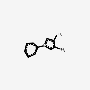 Cc1cn(-c2ccccc2)cc1N